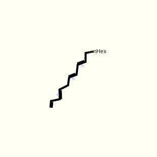 [CH2]CCCCCC/C=C/C=C/C/C=C/C=C